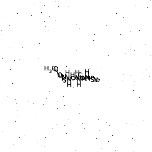 COCCCOCc1csc(NNc2ccc(NNc3ccc(NNc4ccc(N5CCCC5)s4)cc3C)cc2)n1